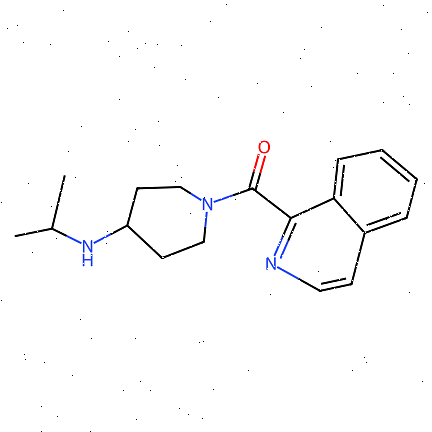 CC(C)NC1CCN(C(=O)c2nccc3ccccc23)CC1